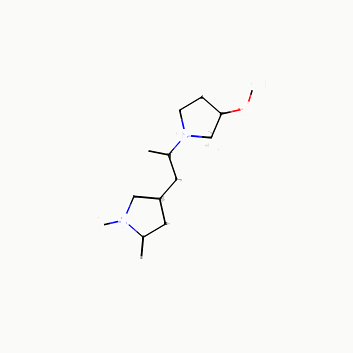 COC1CCN(C(C)CC2CC(C)N(C)C2)[C@H]1C